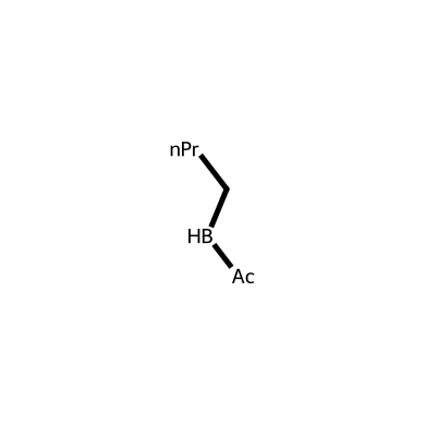 CCCCBC(C)=O